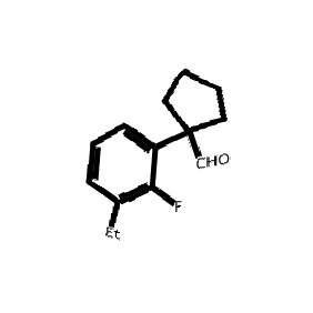 CCc1cccc(C2(C=O)CCCC2)c1F